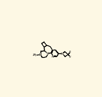 CC(C)N1CCN2c3ncc(N4CC(F)(F)C4)cc3CC3CCC3C2C1